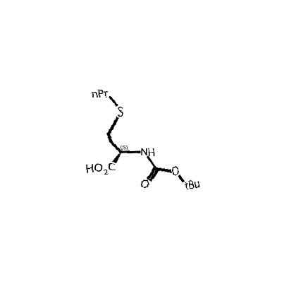 CCCSC[C@@H](NC(=O)OC(C)(C)C)C(=O)O